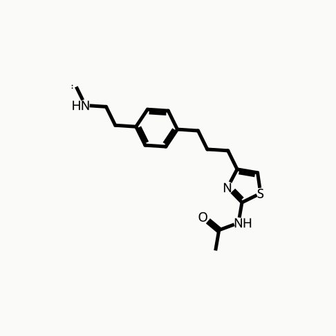 [CH]NCCc1ccc(CCCc2csc(NC(C)=O)n2)cc1